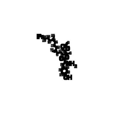 C=C1OCC(C(C)(CCCC(C)CCCC(C)CCCC(C)C)OC(=O)[C@H](N)Cc2ccc(O)cc2)O1